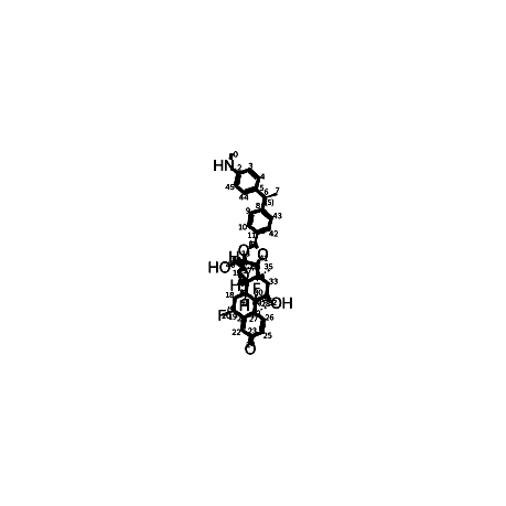 CNc1ccc([C@@H](C)c2ccc([C@@H]3O[C@@H]4C[C@H]5[C@@H]6C[C@H](F)C7=CC(=O)C=C[C@]7(C)[C@@]6(F)[C@@H](O)C[C@]5(C)[C@]4(C(=O)CO)O3)cc2)cc1